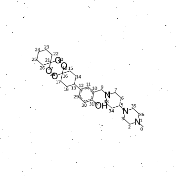 CN1CCN(C2CCN(Cc3cc(C4CCC5(CC4)OOC4(CCCCC4)OO5)ccc3O)CC2)CC1